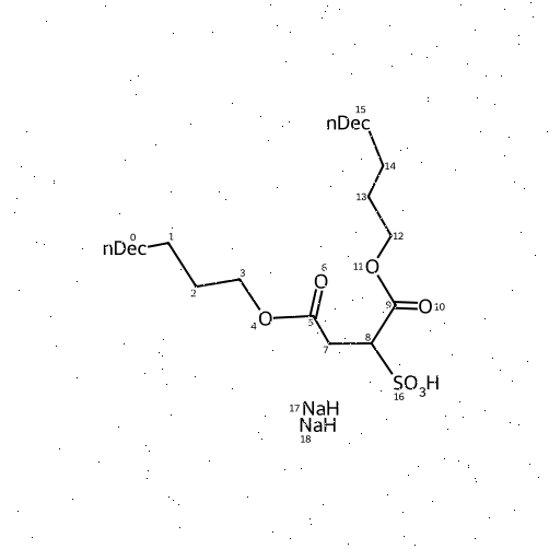 CCCCCCCCCCCCCOC(=O)CC(C(=O)OCCCCCCCCCCCCC)S(=O)(=O)O.[NaH].[NaH]